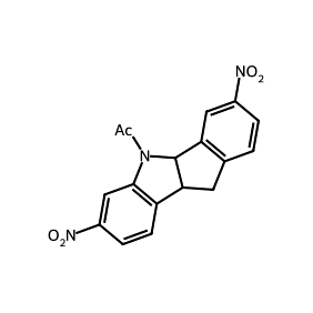 CC(=O)N1c2cc([N+](=O)[O-])ccc2C2Cc3ccc([N+](=O)[O-])cc3C21